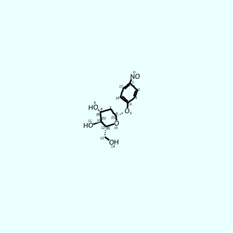 O=Nc1ccc(O[C@H]2C[C@@H](O)[C@H](O)[C@@H](CO)O2)cc1